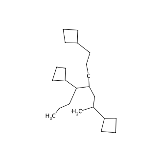 [CH2]C(CC(CCCC1CCC1)C(CCC)C1CCC1)C1CCC1